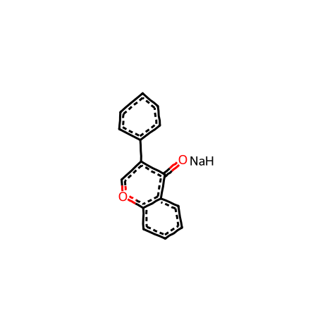 O=c1c(-c2ccccc2)coc2ccccc12.[NaH]